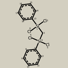 Cl[Si](Cl)(C[Si](Cl)(Cl)c1ccccc1)c1ccccc1